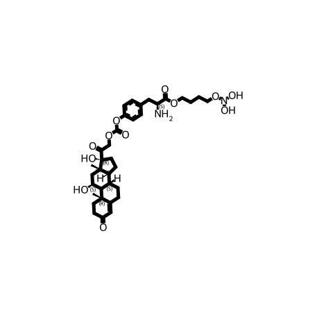 C[C@]12CCC(=O)C=C1CC[C@@H]1C2[C@@H](O)C[C@@]2(C)[C@H]1CC[C@]2(O)C(=O)COC(=O)Oc1ccc(C[C@H](N)C(=O)OCCCCON(O)O)cc1